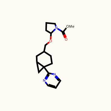 COC(=O)N1CCCC1OCC1CCC2(c3ncccn3)CC2C1